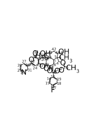 CC(=O)OCC1(C)C2C[C@H](OC(=O)c3ccc(F)cc3)[C@@]3(C)Oc4cc(-c5cccnc5)oc(=O)c4[C@H](O)C3[C@@]2(C)CC[C@@H]1O